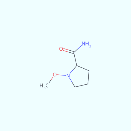 CON1CCCC1C(N)=O